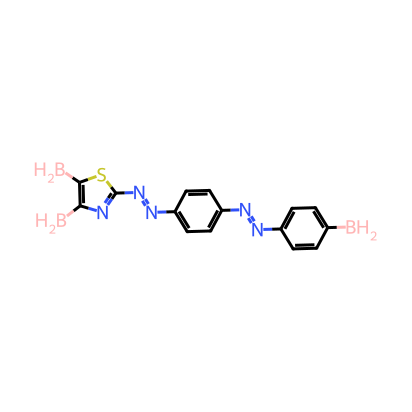 Bc1ccc(N=Nc2ccc(N=Nc3nc(B)c(B)s3)cc2)cc1